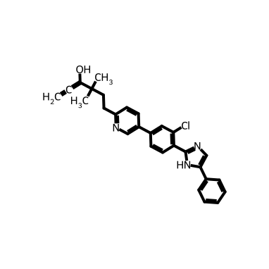 C=C=C(O)C(C)(C)CCc1ccc(-c2ccc(-c3ncc(-c4ccccc4)[nH]3)c(Cl)c2)cn1